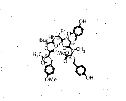 CC[C@H](C)[C@@H](OC(=O)[C@H](Cc1ccc(OC)cc1)N(C)C)C(=O)N[C@H](C(=O)N(C)[C@H](Cc1ccc(O)cc1)C(=O)N(C)[C@H](CCc1ccc(O)cc1)C(=O)OC)C(C)C